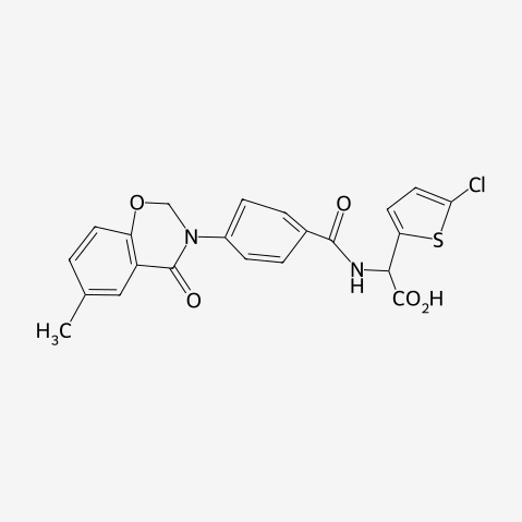 Cc1ccc2c(c1)C(=O)N(c1ccc(C(=O)NC(C(=O)O)c3ccc(Cl)s3)cc1)CO2